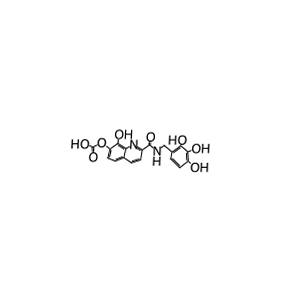 O=C(O)Oc1ccc2ccc(C(=O)NCc3ccc(O)c(O)c3O)nc2c1O